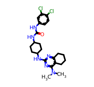 CN(C)c1nc(NC2CCC(NC(=O)Nc3ccc(Cl)c(Cl)c3)CC2)nc2c1CCCC2